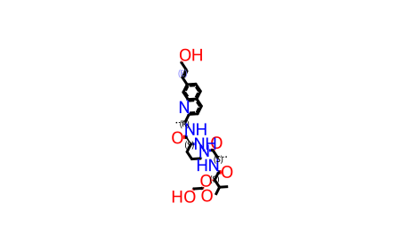 CC(C)[C@H](OC(=O)CO)C(=O)N[C@@H](C)C(=O)N1CCC[C@@H](C(=O)N[C@H](C)c2ccc3ccc(/C=C/CO)cc3n2)N1